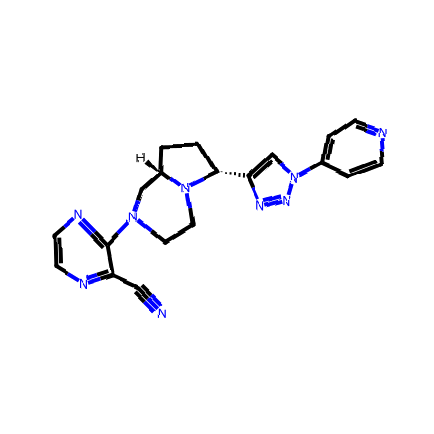 N#Cc1nccnc1N1CCN2[C@@H](CC[C@@H]2c2cn(-c3ccncc3)nn2)C1